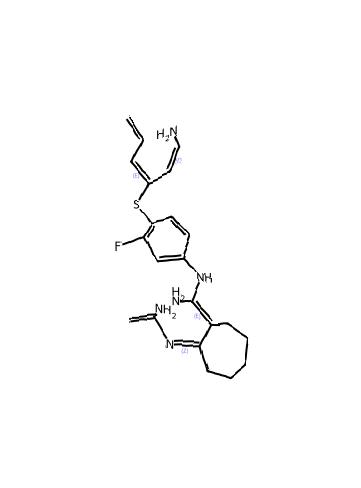 C=C/C=C(\C=C/N)Sc1ccc(N/C(N)=C2\CCCCC\C2=N\C(=C)N)cc1F